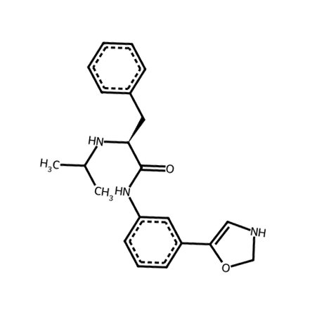 CC(C)N[C@@H](Cc1ccccc1)C(=O)Nc1cccc(C2=CNCO2)c1